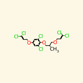 CC(COCC=C(Cl)Cl)COc1c(Cl)cc(OCC=C(Cl)Cl)cc1Cl